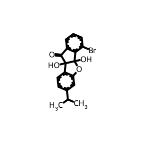 CC(C)c1ccc2c(c1)OC1(O)c3c(Br)cccc3C(=O)C21O